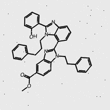 COC(=O)c1ccc2c(c1)nc(-c1cccc3nc(-c4ccccc4O)n(CCCc4ccccc4)c13)n2CCc1ccccc1